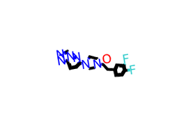 O=C(Cc1ccc(F)c(F)c1)N1CCN(c2ccc3nncn3n2)CC1